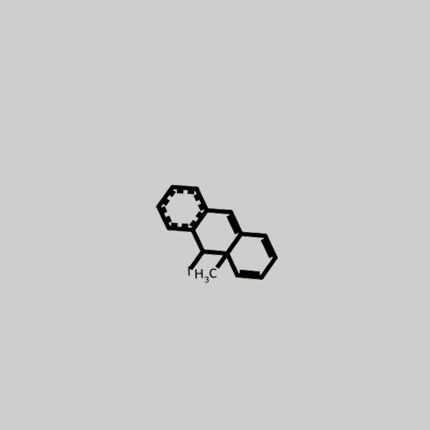 CC12C=CC=CC1=Cc1ccccc1C2I